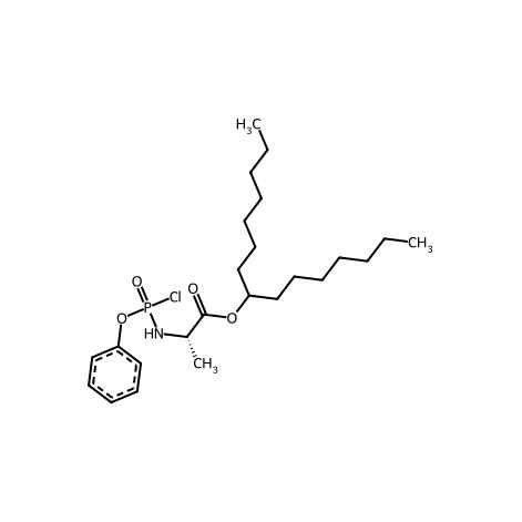 CCCCCCCC(CCCCCCC)OC(=O)[C@H](C)NP(=O)(Cl)Oc1ccccc1